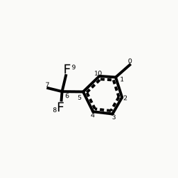 Cc1cccc(C(C)(F)F)c1